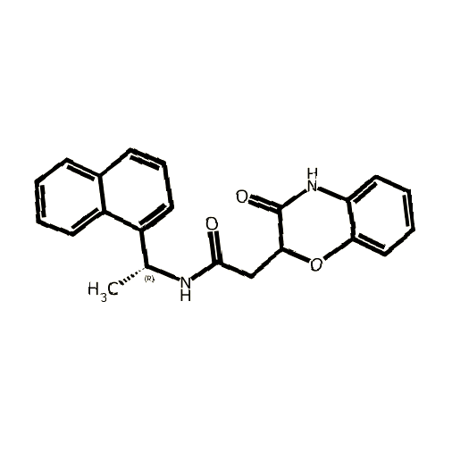 C[C@@H](NC(=O)CC1Oc2ccccc2NC1=O)c1cccc2ccccc12